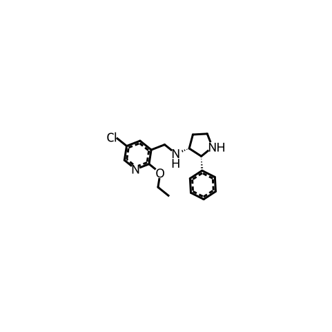 CCOc1ncc(Cl)cc1CN[C@@H]1CCN[C@@H]1c1ccccc1